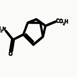 NC(=O)C1=CC2CC1CC2C(=O)O